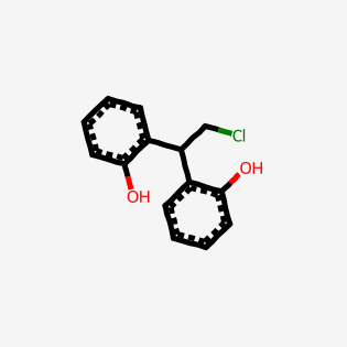 Oc1ccccc1C(CCl)c1ccccc1O